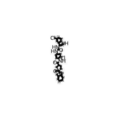 O=C(Nc1ccc(NC(=O)C2CCN(S(=O)(=O)Cc3ccccc3F)C2)c(Cl)c1)Nc1c[nH]c2ccc(Cl)cc12